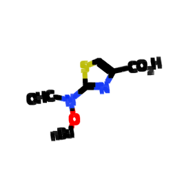 CCCCON(C=O)c1nc(C(=O)O)cs1